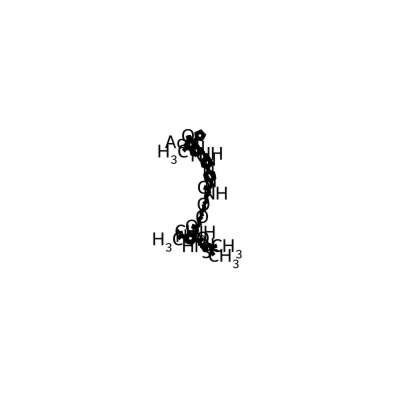 CC(=O)c1c(C)c2cnc(Nc3ccc(N4CCN(CC(=O)NCCOCCOCCC(=O)Nc5cc(N(C)C)ccc5C(=O)Nc5nc(C)c(C)s5)CC4)cn3)nc2n(C2CCCC2)c1=O